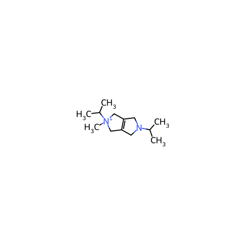 CC(C)N1CC2=C(C1)C[N+](C)(C(C)C)C2